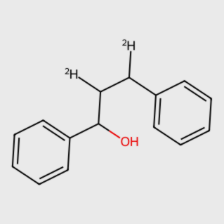 [2H]C(c1ccccc1)C([2H])C(O)c1ccccc1